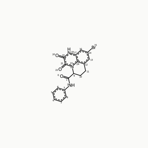 O=C(Nc1ccccc1)C1CCc2cc(Br)cc3[nH]c(=O)c(=O)n1c23